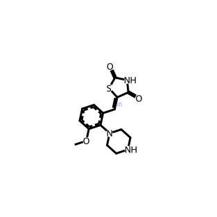 COc1cccc(/C=C2\SC(=O)NC2=O)c1N1CCNCC1